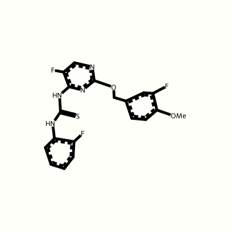 COc1ccc(COc2ncc(F)c(NC(=S)Nc3ccccc3F)n2)cc1F